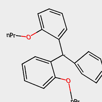 CCCOc1ccccc1[C](c1ccccc1)c1ccccc1OCCC